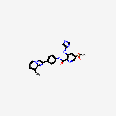 Cc1cccn2cc(-c3ccc(NC(=O)c4ncc(S(C)(=O)=O)cc4Nc4c[nH]cn4)cc3)nc12